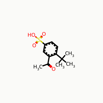 CC(=O)c1cc(S(=O)(=O)O)ccc1C(C)(C)C